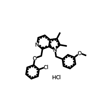 COc1cccc(Cn2c(C)c(C)c3ccnc(COc4ccccc4Cl)c32)c1.Cl